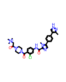 Cc1n[nH]cc1-c1ccc(-c2cnc(C(=O)Nc3ccc(C(=O)N4CCN(C(=O)C[N+](C)(C)C)CC4)c(Cl)c3)n2C)cc1